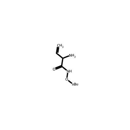 C=CC(N)C(=O)NOCCCC